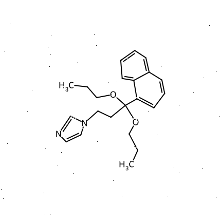 CCCOC(CCn1ccnc1)(OCCC)c1cccc2ccccc12